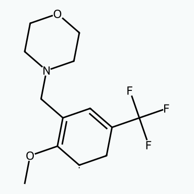 COC1=C(CN2CCOCC2)C=C(C(F)(F)F)C[CH]1